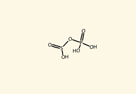 O=S(O)OP(=O)(O)O